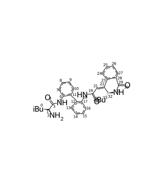 CC[C@H](C)[C@H](N)C(=O)Nc1ccccc1-c1ccccc1NC(=O)/C=C1/c2ccccc2C(=O)N[C@H]1[C@@H](C)CC